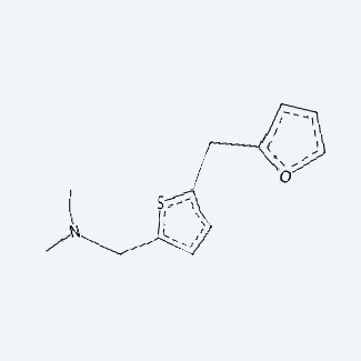 CN(C)Cc1ccc(Cc2ccco2)s1